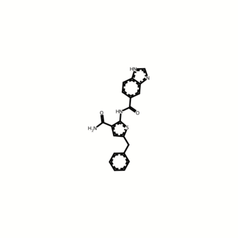 NC(=O)c1cc(Cc2ccccc2)sc1NC(=O)c1ccc2[nH]cnc2c1